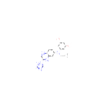 COc1cc(OC)cc(N(CC2CC2)c2ccc3ncc(-n4cncn4)nc3c2)c1